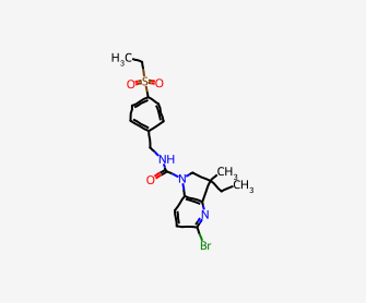 CCC1(C)CN(C(=O)NCc2ccc(S(=O)(=O)CC)cc2)c2ccc(Br)nc21